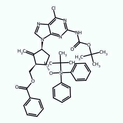 C=C1[C@H](COC(=O)c2ccccc2)[C@@H](O[Si](c2ccccc2)(c2ccccc2)C(C)(C)C)C[C@@H]1n1cnc2c(Cl)nc(NC(=O)OC(C)(C)C)nc21